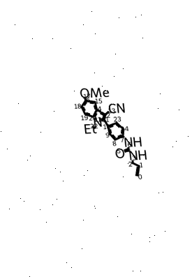 C=CCNC(=O)Nc1ccc(-c2c(C#N)c3cc(OC)ccc3n2CC)cc1